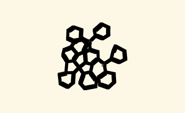 c1ccc(N(c2ccccc2)c2cc(N(c3ccccc3)c3ccccc3)c3c(c2)C2(c4ccccc4-c4ccc5ccccc5c42)c2ccccc2-3)cc1